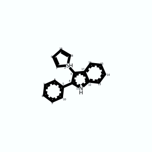 C1=C[SH](c2c(-c3ccccc3)[nH]c3ccccc23)C=C1